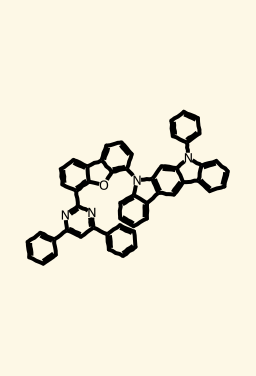 c1ccc(-c2cc(-c3ccccc3)nc(-c3cccc4c3oc3c(-n5c6ccccc6c6cc7c8ccccc8n(-c8ccccc8)c7cc65)cccc34)n2)cc1